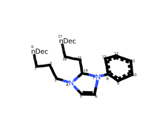 CCCCCCCCCCCCCN1C=CN(c2ccccc2)C1CCCCCCCCCCCC